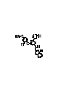 COc1ccc(Oc2cc(NCc3nc4ccccc4[nH]3)nc(C3CNCCO3)n2)c(Cl)c1